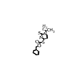 CC(C)n1ccc(SC(=O)OCc2ccccc2)nc1=S